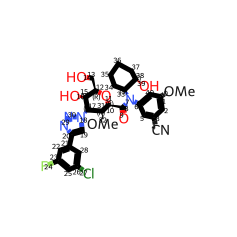 COc1cc(C#N)cc(N(C(=O)[C@@H]2O[C@H](CO)[C@H](O)[C@H](n3cc(-c4cc(F)cc(Cl)c4)nn3)[C@H]2OC)[C@H]2CCCC[C@@H]2O)c1